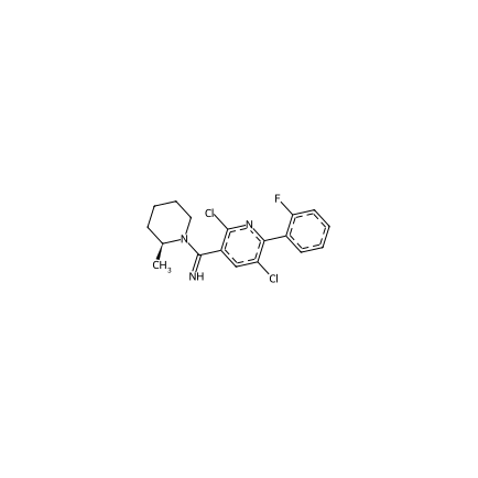 C[C@H]1CCCCN1C(=N)c1cc(Cl)c(-c2ccccc2F)nc1Cl